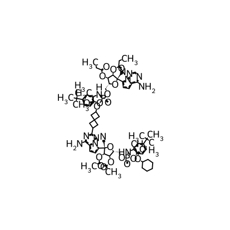 CCC(=O)O[C@H]1[C@@H](OC(=O)CC)[C@](C#N)(c2ccc3c(N)ncnn23)O[C@@H]1COP(=O)(N[C@@H](C)C(=O)OC1CC2(C1)CC(c1nc(N)c3ccc([C@]4(C#N)O[C@H](COP(=O)(N[C@@H](C)C(=O)OC5CCCCC5)Oc5ccc(C(C)(C)C)cc5)[C@@H](OC(C)=O)[C@H]4OC(C)=O)n3n1)C2)Oc1ccc(C(C)(C)C)cc1